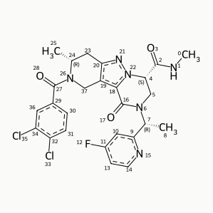 CNC(=O)[C@@H]1CN([C@H](C)c2cc(F)ccn2)C(=O)c2c3c(nn21)C[C@@H](C)N(C(=O)c1ccc(Cl)c(Cl)c1)C3